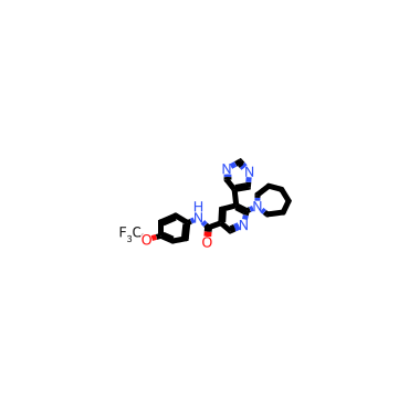 O=C(Nc1ccc(OC(F)(F)F)cc1)c1cnc(N2CCCCCC2)c(-c2cncnc2)c1